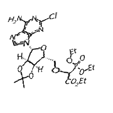 CCOC(=O)C(OC[C@H]1O[C@@H](n2cnc3c(N)nc(Cl)nc32)[C@@H]2OC(C)(C)O[C@@H]21)P(=O)(OCC)OCC